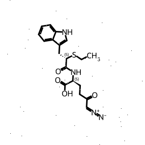 CCS[C@@H](Cc1c[nH]c2ccccc12)C(=O)N[C@@H](CCC(=O)C=[N+]=[N-])C(=O)O